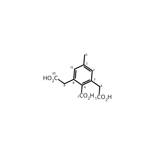 Cc1cc(CC(=O)O)c(C(=O)O)c(CC(=O)O)c1